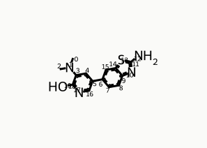 CN(C)c1cc(-c2ccc3nc(N)sc3c2)cnc1O